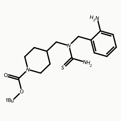 CC(C)(C)OC(=O)N1CCC(CN(Cc2ccccc2N)C(N)=S)CC1